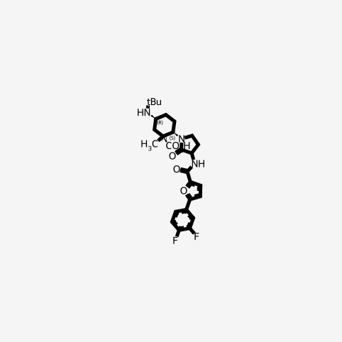 CC(C)(C)N[C@@H]1CC[C@H](N2CCC(NC(=O)c3ccc(-c4ccc(F)c(F)c4)o3)C2=O)[C@](C)(C(=O)O)C1